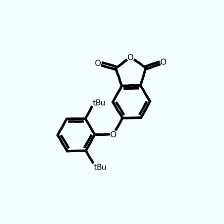 CC(C)(C)c1cccc(C(C)(C)C)c1Oc1ccc2c(c1)C(=O)OC2=O